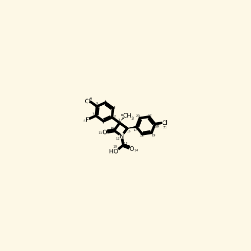 C[C@@]1(c2ccc(Cl)c(F)c2)C(=O)N(C(=O)O)[C@@H]1c1ccc(Cl)cc1